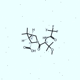 COC(C)(C)[C@H](NC(=O)C(F)(F)F)C(=O)N1C[C@H]2[C@@H]([C@H]1C(=O)O)C2(C)C